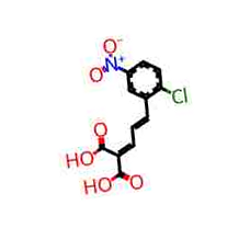 O=C(O)C(=CC=Cc1cc([N+](=O)[O-])ccc1Cl)C(=O)O